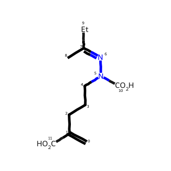 C=C(CCCN(N=C(C)CC)C(=O)O)C(=O)O